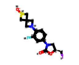 O=C1O[C@@H](CI)CN1c1ccc(N2CC3(C2)C[S+]([O-])C3)c(F)c1